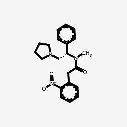 CN(C(=O)Cc1ccccc1[N+](=O)[O-])[C@H](CN1CCCC1)c1ccccc1